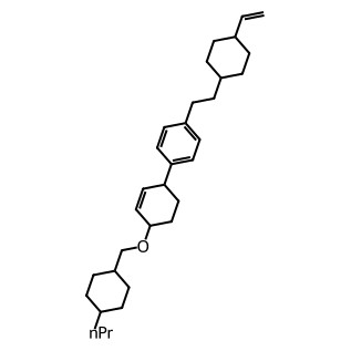 C=CC1CCC(CCc2ccc(C3C=CC(OCC4CCC(CCC)CC4)CC3)cc2)CC1